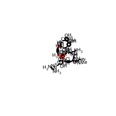 CN[C@@H](CC(C)C)C(=O)NC1C(=O)NC(CC(N)=O)C(=O)NC2C(=O)NC3C(=O)N[C@H](C(=O)NC(C(=O)O)c4cc(O)cc(O)c4-c4cc3ccc4O)[C@H](O)c3ccc(c(Cl)c3)Oc3cc2cc(c3OC2OC(CSc3nc(N)cc(N)n3)C(O)C(O)C2OC2CC(N)(I)C(O)C(C)O2)Oc2ccc(cc2Cl)C1O